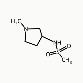 CN1CCC(NS(C)(=O)=O)C1